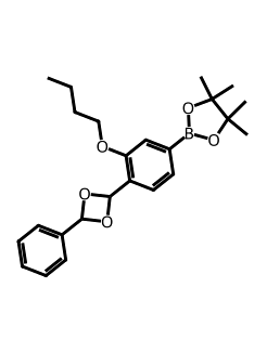 CCCCOc1cc(B2OC(C)(C)C(C)(C)O2)ccc1C1OC(c2ccccc2)O1